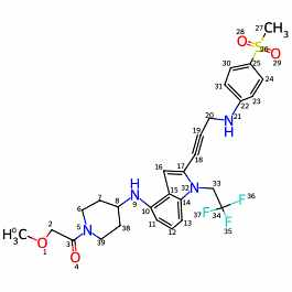 COCC(=O)N1CCC(Nc2cccc3c2cc(C#CCNc2ccc(S(C)(=O)=O)cc2)n3CC(F)(F)F)CC1